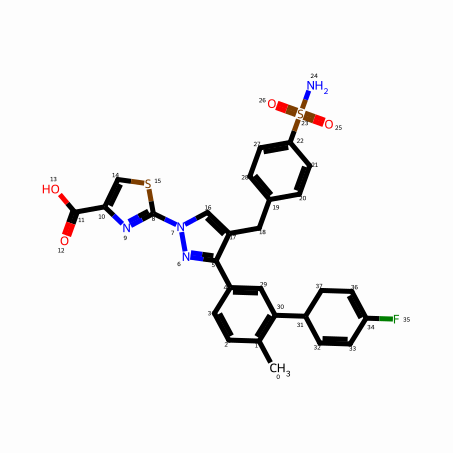 Cc1ccc(-c2nn(-c3nc(C(=O)O)cs3)cc2Cc2ccc(S(N)(=O)=O)cc2)cc1C1C=CC(F)=CC1